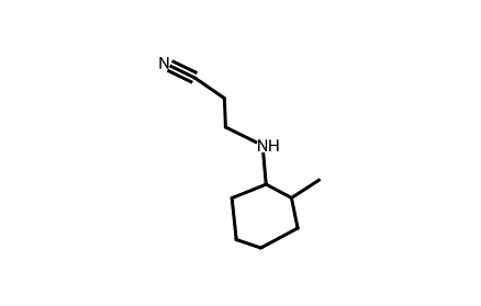 CC1CCCCC1NCCC#N